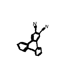 N#Cc1cc2c3ccccc3c3ccccc3c2cc1C#N